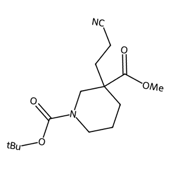 COC(=O)C1(CCC#N)CCCN(C(=O)OC(C)(C)C)C1